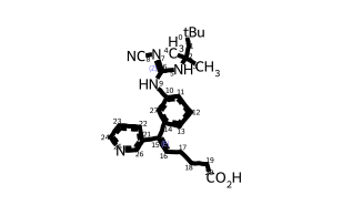 CC(C)(C)CC(C)(C)N/C(=N/C#N)Nc1cccc(/C(=C\CCCC(=O)O)c2cccnc2)c1